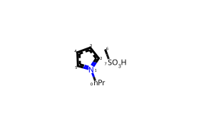 CCCn1cccc1.CS(=O)(=O)O